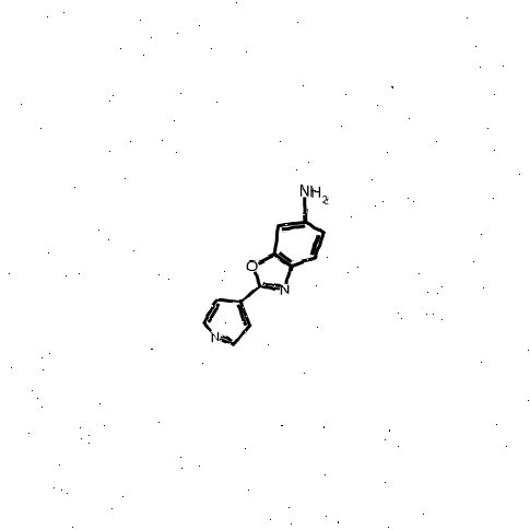 Nc1ccc2nc(-c3ccncc3)oc2c1